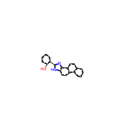 Oc1ccccc1-c1nc2c(ccc3c4ccccc4ccc32)[nH]1